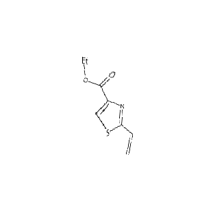 C=Cc1nc(C(=O)OCC)cs1